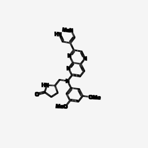 CN/C=C(\C=N)c1cnc2ccc(N(CC3CCC(=O)N3)c3cc(OC)cc(OC)c3)nc2n1